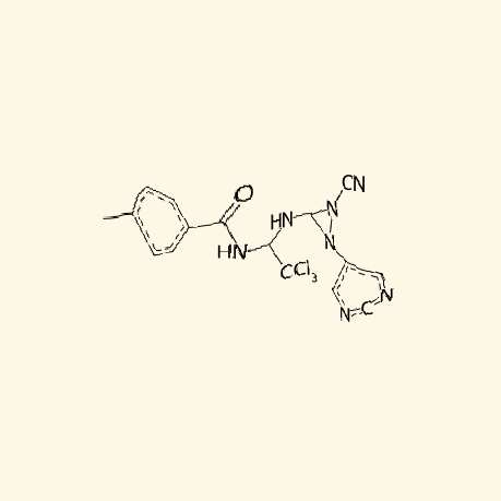 Cc1ccc(C(=O)NC(NC2N(C#N)N2c2cncnc2)C(Cl)(Cl)Cl)cc1